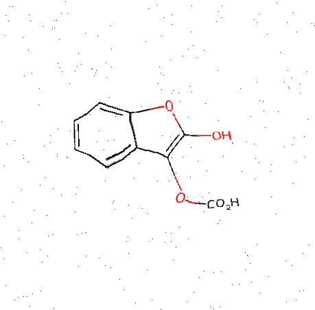 O=C(O)Oc1c(O)oc2ccccc12